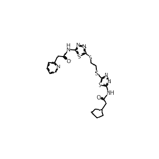 O=C(Cc1ccccn1)Nc1nnc(SCCSc2nnc(NC(=O)CC3CCCC3)s2)s1